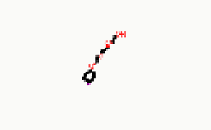 OCCOCCOCCOc1ccc(I)cc1